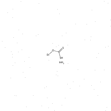 CCOC(=S)S.[InH3]